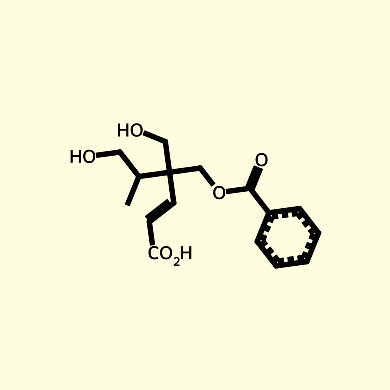 CC(CO)C(C=CC(=O)O)(CO)COC(=O)c1ccccc1